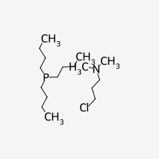 CCCCP(CCCC)CCCC.CN(C)CCCCl